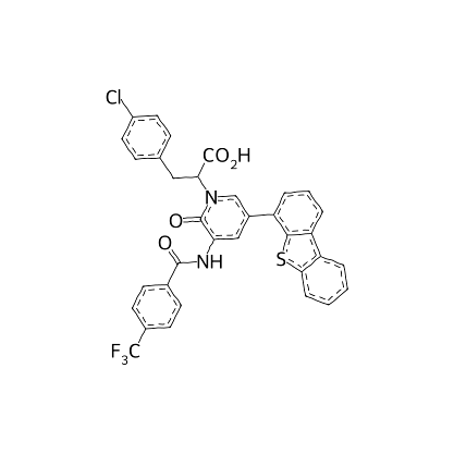 O=C(Nc1cc(-c2cccc3c2sc2ccccc23)cn(C(Cc2ccc(Cl)cc2)C(=O)O)c1=O)c1ccc(C(F)(F)F)cc1